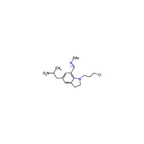 CC(=O)O/N=C/c1cc(CC(C)[N+](=O)[O-])cc2c1N(CCCCl)CC2